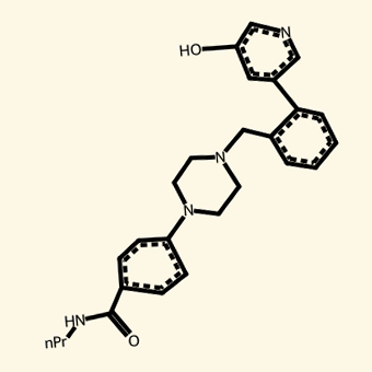 CCCNC(=O)c1ccc(N2CCN(Cc3ccccc3-c3cncc(O)c3)CC2)cc1